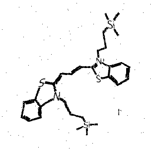 C[Si](C)(C)CCCN1C(=CC=Cc2sc3ccccc3[n+]2CCC[Si](C)(C)C)Sc2ccccc21.[I-]